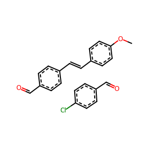 COc1ccc(C=Cc2ccc(C=O)cc2)cc1.O=Cc1ccc(Cl)cc1